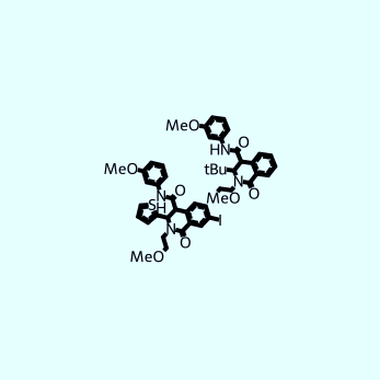 COCCN1C(=O)c2cc(I)ccc2C(C(=O)Nc2cccc(OC)c2)C1c1cccs1.COCCN1C(=O)c2ccccc2C(C(=O)Nc2cccc(OC)c2)C1C(C)(C)C